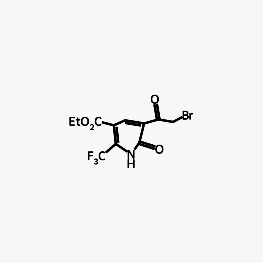 CCOC(=O)c1cc(C(=O)CBr)c(=O)[nH]c1C(F)(F)F